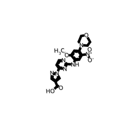 COc1cc(N2CCOCC2)c([N+](=O)[O-])cc1Nc1nccc(-n2cc(C(=O)O)cn2)n1